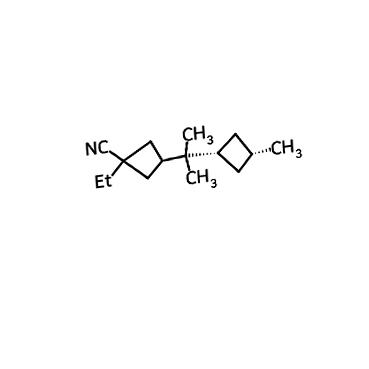 CCC1(C#N)CC(C(C)(C)[C@H]2C[C@@H](C)C2)C1